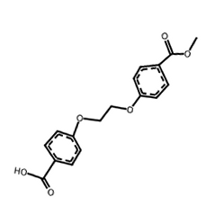 COC(=O)c1ccc(OCCOc2ccc(C(=O)O)cc2)cc1